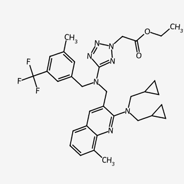 CCOC(=O)Cn1nnc(N(Cc2cc(C)cc(C(F)(F)F)c2)Cc2cc3cccc(C)c3nc2N(CC2CC2)CC2CC2)n1